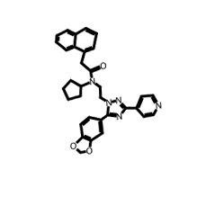 O=C(Cc1cccc2ccccc12)N(CCn1nc(-c2ccncc2)nc1-c1ccc2c(c1)OCO2)C1CCCC1